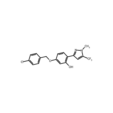 Cn1nc(-c2ccc(OCc3ccc(Cl)cc3)cc2O)cc1C(F)(F)F